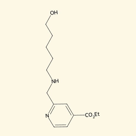 CCOC(=O)c1ccnc(CNCCCCCO)c1